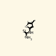 Cc1csc(NC(N)=S)c1